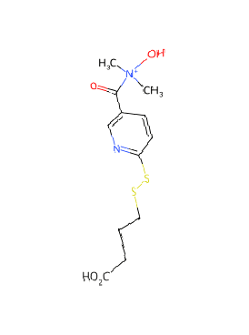 C[N+](C)(O)C(=O)c1ccc(SSCCCC(=O)O)nc1